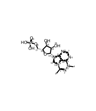 CC1=NN(C)c2ncnc3c2[n+]1cn3[C@@H]1O[C@H](COP(=O)(O)O)[C@@H](O)[C@H]1O